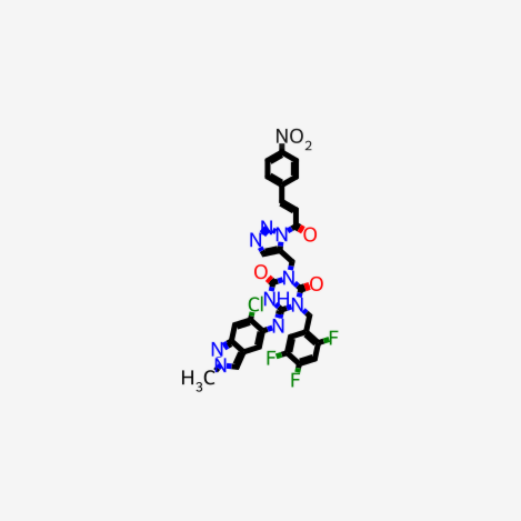 Cn1cc2cc(/N=c3\[nH]c(=O)n(Cc4cnnn4C(=O)/C=C/c4ccc([N+](=O)[O-])cc4)c(=O)n3Cc3cc(F)c(F)cc3F)c(Cl)cc2n1